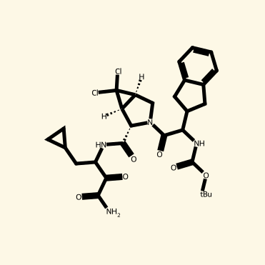 CC(C)(C)OC(=O)NC(C(=O)N1C[C@H]2[C@@H]([C@H]1C(=O)NC(CC1CC1)C(=O)C(N)=O)C2(Cl)Cl)C1Cc2ccccc2C1